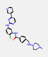 CN1CCN(NCc2ccc(C(=O)Nc3cc(Nc4nccc(-c5cccnc5)n4)ccc3F)cc2)CC1